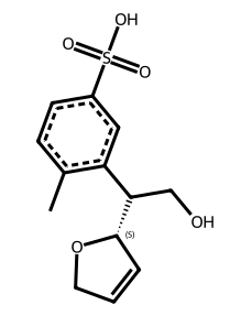 Cc1ccc(S(=O)(=O)O)cc1C(CO)[C@@H]1C=CCO1